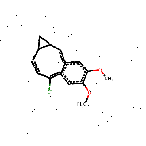 COc1cc2/c(cc1OC)=C(Cl)\C=C/C1CC1\C=2